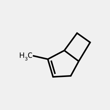 CC1=CCC2CCC12